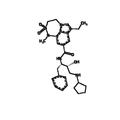 CCc1cn2c3c(cc(C(=O)N[C@@H](Cc4ccccc4)[C@H](O)CNC4CCCC4)cc13)N(C)S(=O)(=O)CC2